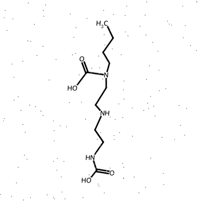 CCCCN(CCNCCNC(=O)O)C(=O)O